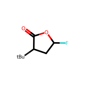 CC(C)(C)C1CC(F)OC1=O